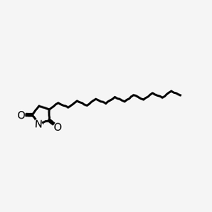 CCCCCCCCCCCCCCC1CC(=O)[N]C1=O